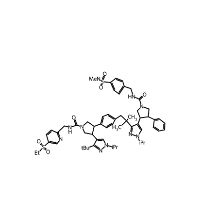 CCS(=O)(=O)c1ccc(CNC(=O)N2CC(c3ccc(CC(C)(C)c4nn(C(C)C)cc4C4CN(C(=O)NCc5ccc(S(=O)(=O)NC)cc5)CC4c4ccccc4)cc3)C(c3cn(C(C)C)nc3C(C)(C)C)C2)nc1